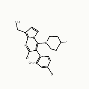 CC1CCN(c2c(-c3ccc(F)cc3Cl)c(Cl)nc3c(CO)cnn23)CC1